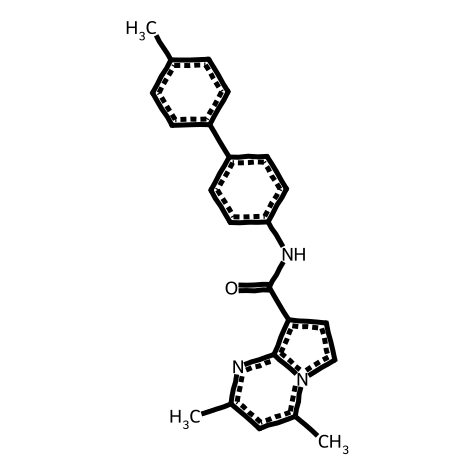 Cc1ccc(-c2ccc(NC(=O)c3ccn4c(C)cc(C)nc34)cc2)cc1